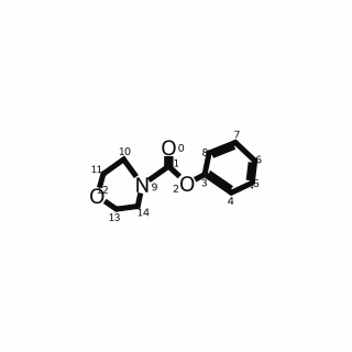 O=C(Oc1c[c]ccc1)N1CCOCC1